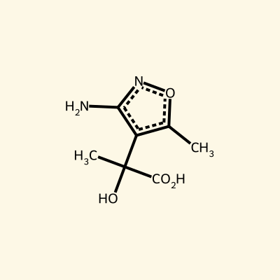 Cc1onc(N)c1C(C)(O)C(=O)O